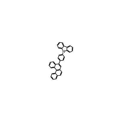 c1ccc2c(c1)ccc1cc(-c3ccc(-n4c5ccccc5c5ccccc54)cc3)c3ccccc3c12